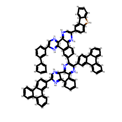 c1ccc(-c2cccc(-c3cnc4c(n3)c3cc(-c5nc6c(nc5-c5ccc7c8ccccc8c8ccccc8c7c5)c5ccccc5c5nc(-c7ccc8c9ccccc9c9ccccc9c8c7)cnc56)ccc3c3nc(-c5ccc6sc7ccccc7c6c5)cnc34)c2)cc1